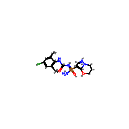 CC(C)c1cc(F)cc(C(C)C)c1NC(=O)N=S(N)(=O)c1cnn2c1OCCC2